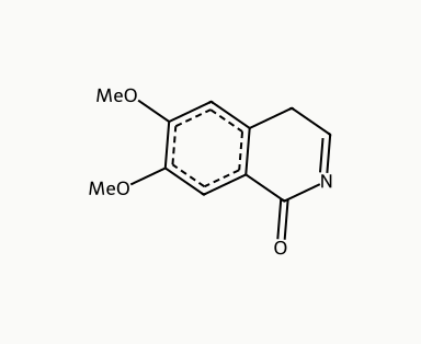 COc1cc2c(cc1OC)C(=O)N=CC2